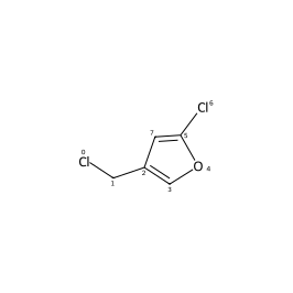 ClCc1coc(Cl)c1